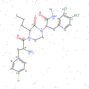 CCCC1C(=O)N(C(Cc2ccc(Cl)c(Cl)c2)C(=O)NC)CCN1C(=O)C(N)Cc1ccc(F)cc1